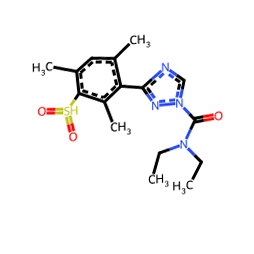 CCN(CC)C(=O)n1cnc(-c2c(C)cc(C)c([SH](=O)=O)c2C)n1